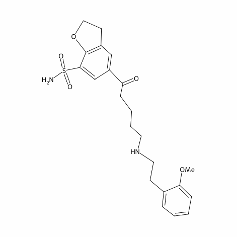 COc1ccccc1CCNCCCCC(=O)c1cc2c(c(S(N)(=O)=O)c1)OCC2